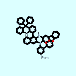 CCC[C@H](C)c1ccc(N2c3cc4sc5ccccc5c4cc3Bc3c2cc2ccccc2c3-c2cccc3c2Nc2ccccc2C3(c2ccccc2)c2ccccc2)c(-c2ccccc2)c1